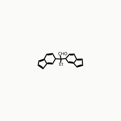 CCC(C=O)(C1C=CC2=CC=CC2=C1)C1C=CC2=CC=CC2=C1